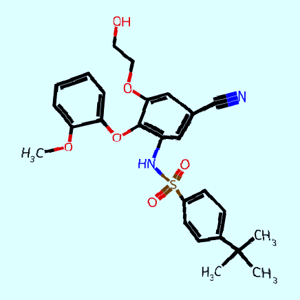 COc1ccccc1Oc1c(NS(=O)(=O)c2ccc(C(C)(C)C)cc2)cc(C#N)cc1OCCO